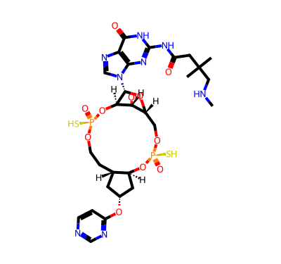 CNCC(C)(C)CC(=O)Nc1nc2c(ncn2[C@@H]2O[C@@H]3CO[P@@](=O)(S)O[C@H]4C[C@H](Oc5ccncn5)C[C@@H]4CCO[P@@](=O)(S)O[C@@H]2[C@@H]3O)c(=O)[nH]1